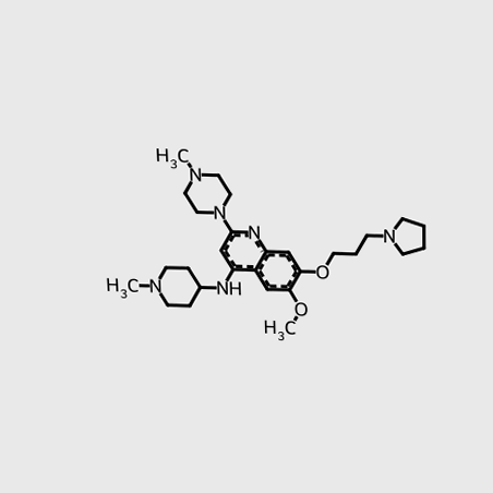 COc1cc2c(NC3CCN(C)CC3)cc(N3CCN(C)CC3)nc2cc1OCCCN1CCCC1